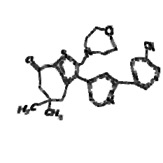 CC1(C)CC(=O)c2sc(N3CCOCC3)c(-c3ccnc(-c4cccc(C#N)c4)c3)c2C1